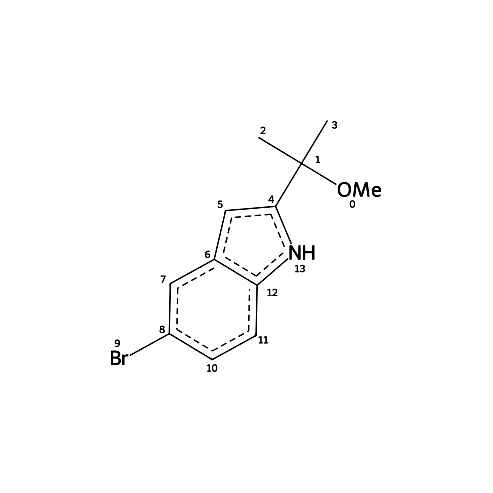 COC(C)(C)c1cc2cc(Br)ccc2[nH]1